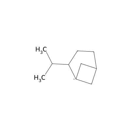 CC(C)C1CCC2C[C]1C2